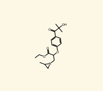 CCOC(=O)C(CN1CC1C)Oc1ccc(C(=O)C(C)(C)O)cc1